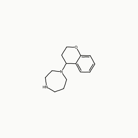 c1ccc2c(c1)OCCC2N1CCCNCC1